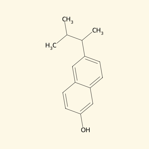 CC(C)C(C)c1ccc2cc(O)ccc2c1